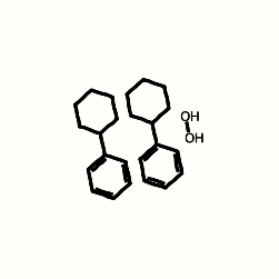 OO.c1ccc(C2CCCCC2)cc1.c1ccc(C2CCCCC2)cc1